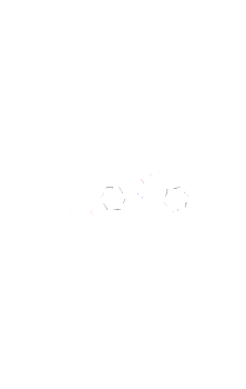 C[C@H](C(=O)N1CCCCc2cc(C(O)(C(F)(F)F)C(F)(F)F)ccc21)c1ccccc1